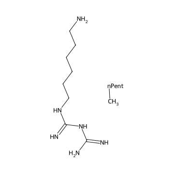 CCCCCC.N=C(N)NC(=N)NCCCCCCN